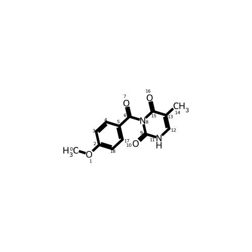 COc1ccc(C(=O)n2c(=O)[nH]cc(C)c2=O)cc1